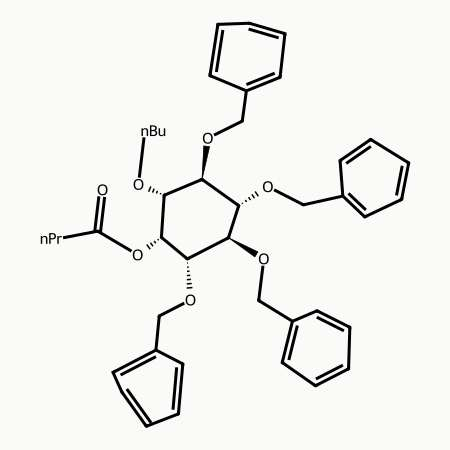 CCCCO[C@@H]1[C@@H](OCc2ccccc2)[C@H](OCc2ccccc2)[C@@H](OCc2ccccc2)[C@H](OCc2ccccc2)[C@@H]1OC(=O)CCC